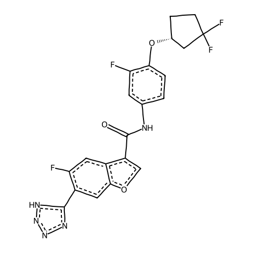 O=C(Nc1ccc(O[C@@H]2CCC(F)(F)C2)c(F)c1)c1coc2cc(-c3nnn[nH]3)c(F)cc12